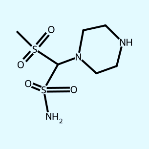 CS(=O)(=O)C(N1CCNCC1)S(N)(=O)=O